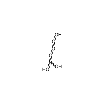 OCCOCCOCCOCCN(CCO)CCO